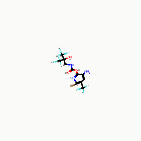 Nc1cc(C(F)(F)F)c(Br)nc1OC(=O)NCC(O)(C(F)(F)F)C(F)(F)F